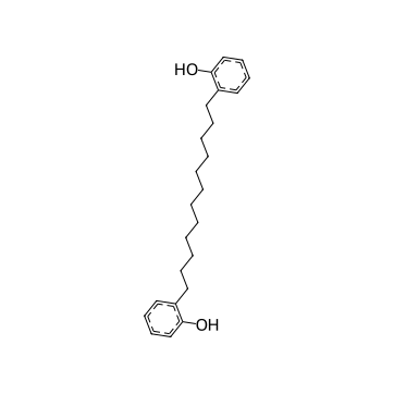 Oc1ccccc1CCCCCCCCCCCCc1ccccc1O